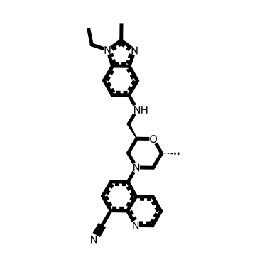 CCn1c(C)nc2cc(NC[C@@H]3CN(c4ccc(C#N)c5ncccc45)C[C@@H](C)O3)ccc21